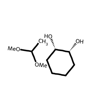 COC(C)OC.O[C@@H]1CCCC[C@@H]1O